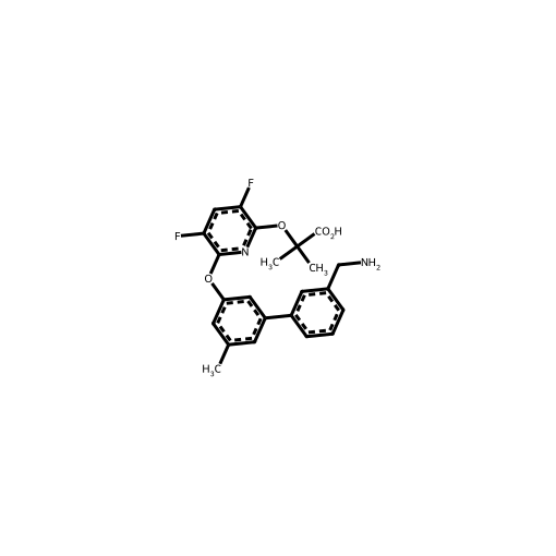 Cc1cc(Oc2nc(OC(C)(C)C(=O)O)c(F)cc2F)cc(-c2cccc(CN)c2)c1